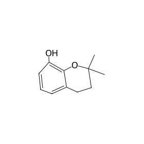 CC1(C)CCc2cccc(O)c2O1